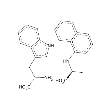 C[C@H](Nc1cccc2ccccc12)C(=O)O.N[C@@H](Cc1c[nH]c2ccccc12)C(=O)O